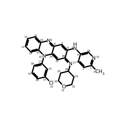 Cc1ccc(Nc2cc3nc4ccccc4n(-c4cccc(Cl)c4)c-3cc2=NC2CCOCC2)cn1